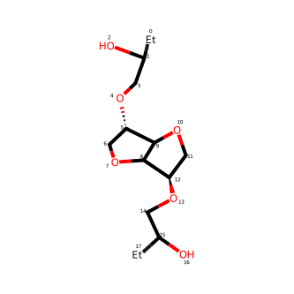 CCC(O)CO[C@H]1COC2C1OC[C@H]2OCC(O)CC